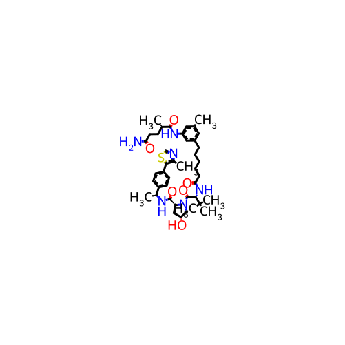 Cc1cc(CCCCCC(=O)N[C@H](C(=O)N2C[C@H](O)C[C@H]2C(=O)N[C@@H](C)c2ccc(-c3scnc3C)cc2)C(C)(C)C)cc(NC(=O)[C@@H](C)CCC(N)=O)c1